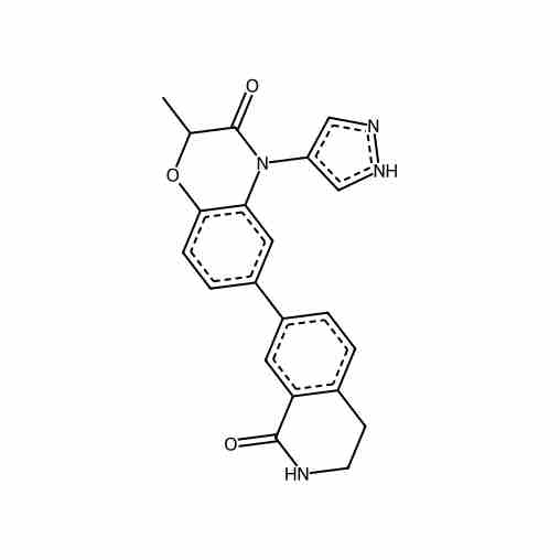 CC1Oc2ccc(-c3ccc4c(c3)C(=O)NCC4)cc2N(c2cn[nH]c2)C1=O